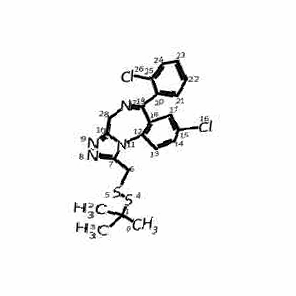 CC(C)(C)SSCc1nnc2n1-c1ccc(Cl)cc1C(c1ccccc1Cl)=NC2